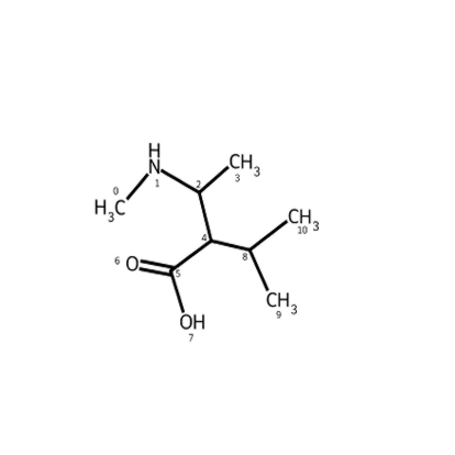 CNC(C)C(C(=O)O)C(C)C